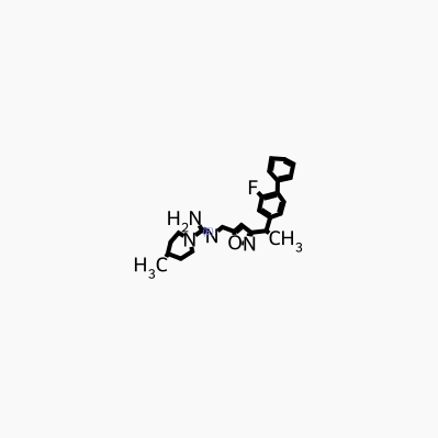 CC1CCN(/C(N)=N/Cc2cc(C(C)c3ccc(-c4ccccc4)c(F)c3)no2)CC1